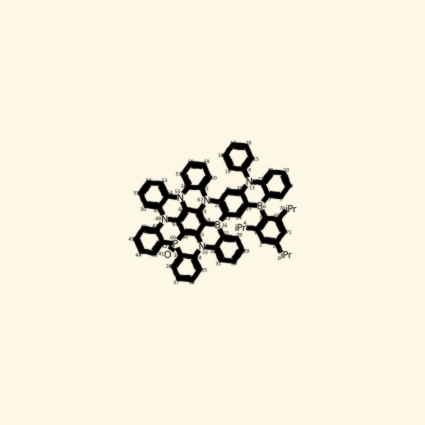 CC(C)c1cc(C(C)C)c(B2c3ccccc3N(c3ccccc3)c3cc4c(cc32)B2c3ccccc3N3c5ccccc5P5(=O)c6ccccc6N6c7ccccc7N7c8ccccc8N4c4c2c3c5c6c47)c(C(C)C)c1